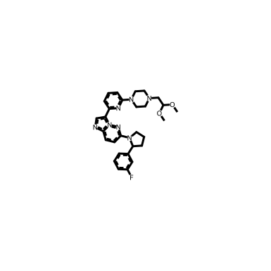 COC(CN1CCN(c2cccc(-c3cnc4ccc(N5CCCC5c5cccc(F)c5)nn34)n2)CC1)OC